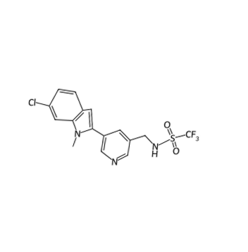 Cn1c(-c2cncc(CNS(=O)(=O)C(F)(F)F)c2)cc2ccc(Cl)cc21